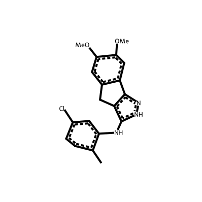 COc1cc2c(cc1OC)-c1n[nH]c(Nc3cc(Cl)ccc3C)c1C2